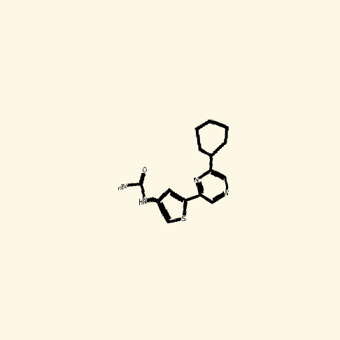 CCCCC(=O)Nc1csc(-c2cncc(C3CCCCC3)n2)c1